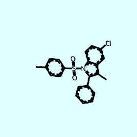 Cc1ccc(S(=O)(=O)n2c(-c3ccccc3)c(C)c3cc(Cl)ccc32)cc1